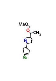 COCOC(C)c1ccc(-c2ccc(Br)cc2)nc1